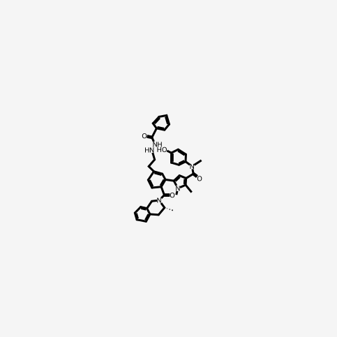 Cc1c(C(=O)N(C)c2ccc(O)cc2)cc(-c2cc(CCNNC(=O)c3ccccc3)ccc2C(=O)N2Cc3ccccc3C[C@H]2C)n1C